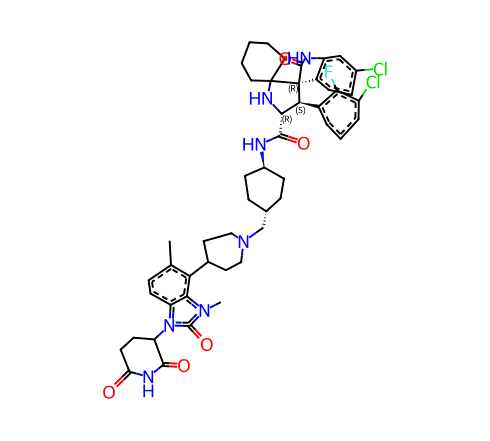 Cc1ccc2c(c1C1CCN(C[C@H]3CC[C@H](NC(=O)[C@@H]4NC5(CCCCC5)[C@@]5(C(=O)Nc6cc(Cl)ccc65)[C@H]4c4cccc(Cl)c4F)CC3)CC1)n(C)c(=O)n2C1CCC(=O)NC1=O